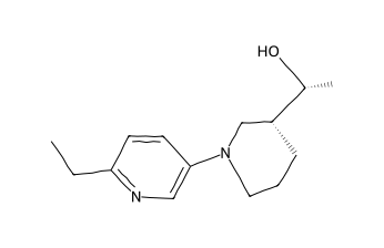 CCc1ccc(N2CCC[C@@H]([C@@H](C)O)C2)cn1